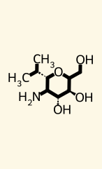 CC(C)[C@@H]1OC(CO)[C@@H](O)[C@H](O)C1N